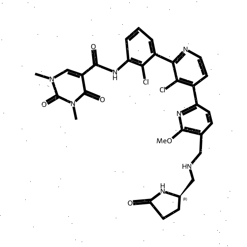 COc1nc(-c2ccnc(-c3cccc(NC(=O)c4cn(C)c(=O)n(C)c4=O)c3Cl)c2Cl)ccc1CNC[C@H]1CCC(=O)N1